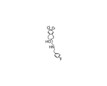 COc1cc2c(cc1OC)CCC(O)(CCCNCCc1ccc(F)cc1)CC2